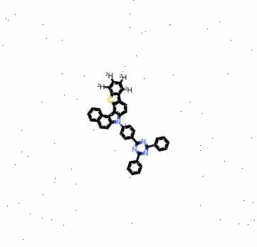 [2H]c1c([2H])c([2H])c2c(sc3c2ccc2c3c3c4ccccc4ccc3n2-c2ccc(-c3nc(-c4ccccc4)nc(-c4ccccc4)n3)cc2)c1[2H]